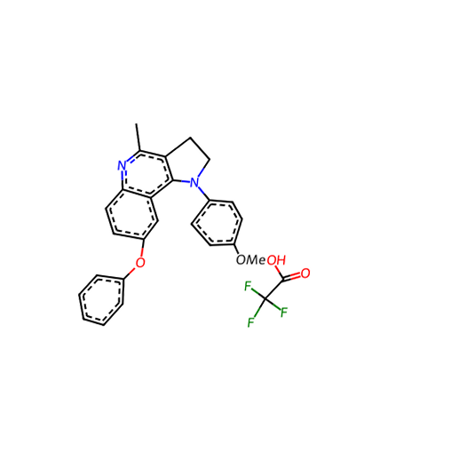 COc1ccc(N2CCc3c(C)nc4ccc(Oc5ccccc5)cc4c32)cc1.O=C(O)C(F)(F)F